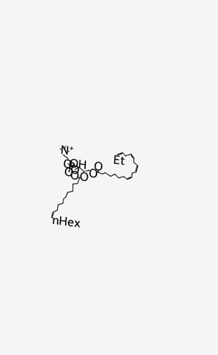 CC/C=C\C/C=C\C/C=C\C/C=C\CCCCCCC(=O)OC[C@H](COP(=O)(O)OCC[N+](C)(C)C)OC(=O)CCCCCCCCC/C=C\CCCCCC